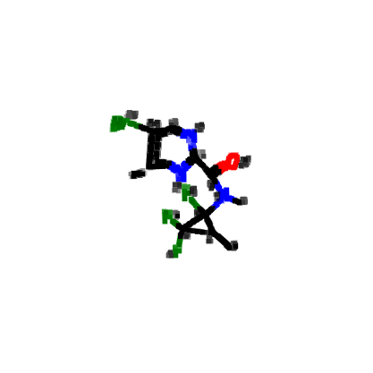 CC1C(F)(F)C1(F)N(C)C(=O)c1ncc(Br)cn1